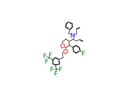 C=CCC(C1CCOC(OCCc2cc(C(F)(F)F)cc(C(F)(F)F)c2)C1c1ccc(F)cc1)N(CC=C)Cc1ccccc1